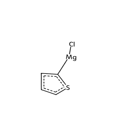 [Cl][Mg][c]1cccs1